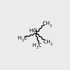 CCCCCCC(O)C(CCCCCC)(CCCCCC)CCCCCC